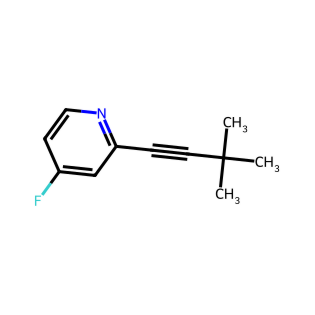 CC(C)(C)C#Cc1cc(F)ccn1